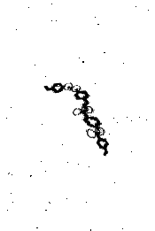 C=Cc1ccc(OCOc2ccc(CCOC(=O)c3ccc(OC(=O)c4ccc(C=C)cc4)cc3)cc2)cc1